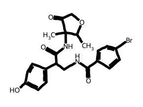 CC1OCC(=O)C1(C)NC(=O)C(CNC(=O)c1ccc(Br)cc1)c1ccc(O)cc1